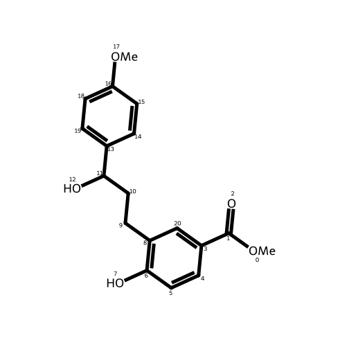 COC(=O)c1ccc(O)c(CCC(O)c2ccc(OC)cc2)c1